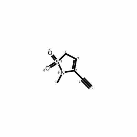 C#CC1=CCS(=O)(=O)N1C